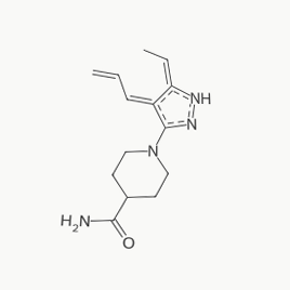 C=C/C=c1/c(N2CCC(C(N)=O)CC2)n[nH]/c1=C/C